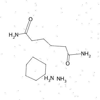 C1CCCCC1.N.N.NC(=O)CCCCC(N)=O